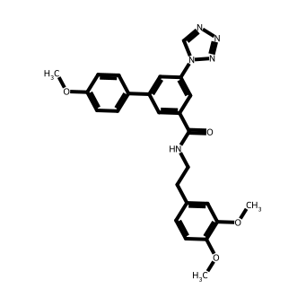 COc1ccc(-c2cc(C(=O)NCCc3ccc(OC)c(OC)c3)cc(-n3cnnn3)c2)cc1